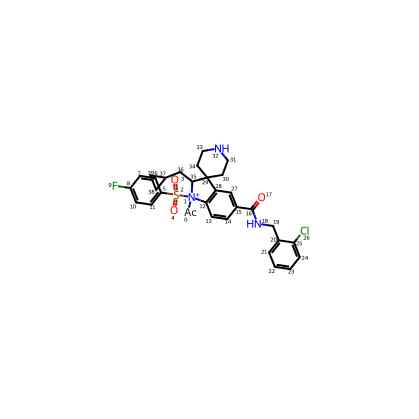 CC(=O)[N+]1(S(=O)(=O)c2ccc(F)cc2)c2ccc(C(=O)NCc3ccccc3Cl)cc2C2(CCNCC2)C1CC1CC1